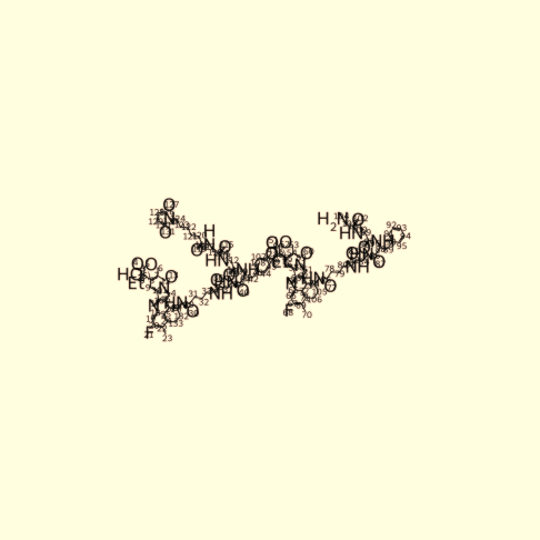 CC[C@@]1(O)C(=O)OCc2c1cc1n(c2=O)Cc2c-1nc1cc(F)c(C)c3c1c2[C@@H](NC(=O)CCCNC(=O)CNC(=O)[C@H](Cc1ccc(O[C@]2(CC)C(=O)OCc4c2cc2n(c4=O)Cc4c-2nc2cc(F)c(C)c5c2c4[C@@H](NC(=O)CCCNC(=O)CNC(=O)C(Cc2ccccc2)NC(=O)CNC(=O)CN)CC5)cc1)NC(=O)CNC(=O)CNC(=O)CCCCCN1C(=O)C=CC1=O)CC3